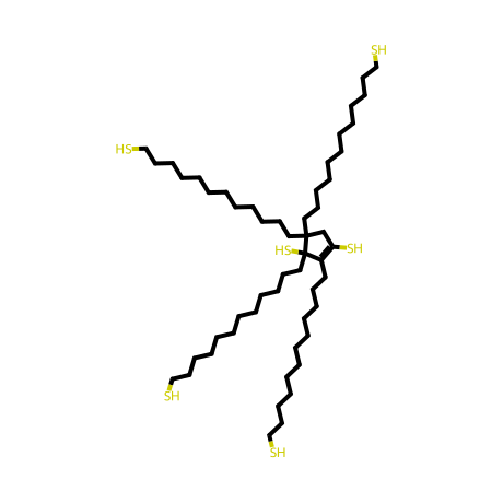 SCCCCCCCCCCCCC1=C(S)CC(CCCCCCCCCCCCS)(CCCCCCCCCCCCS)C1(S)CCCCCCCCCCCCS